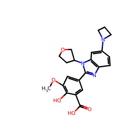 COc1cc(-c2nc3ccc(N4CCC4)cc3n2C2CCOC2)cc(C(=O)O)c1O